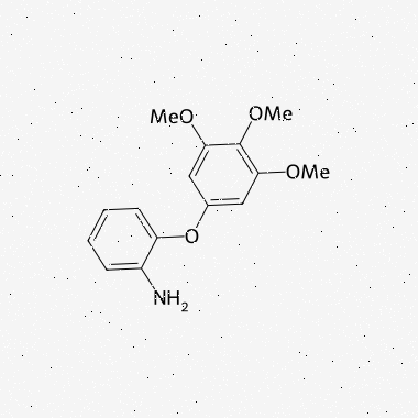 COc1cc(Oc2ccccc2N)cc(OC)c1OC